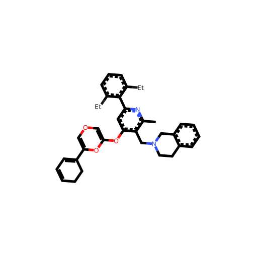 CCc1cccc(CC)c1-c1cc(OC2=COC=C(C3=CC=CCC3)O2)c(CN2CCc3ccccc3C2)c(C)n1